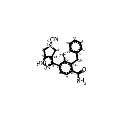 N#CN1Cc2[nH]nc(-c3ccc(C(N)=O)c(Cc4ccccc4)c3F)c2C1